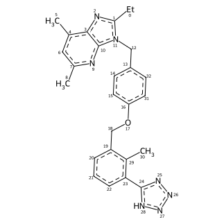 CCc1nc2c(C)cc(C)nc2n1Cc1ccc(OCc2cccc(-c3nnn[nH]3)c2C)cc1